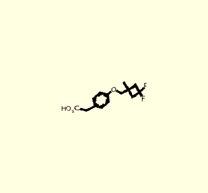 CC1(COc2ccc(CC(=O)O)cc2)CC(F)(F)C1